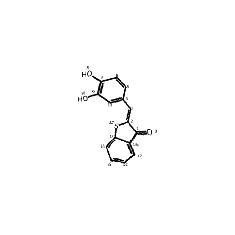 O=C1C(=Cc2ccc(O)c(O)c2)Sc2ccccc21